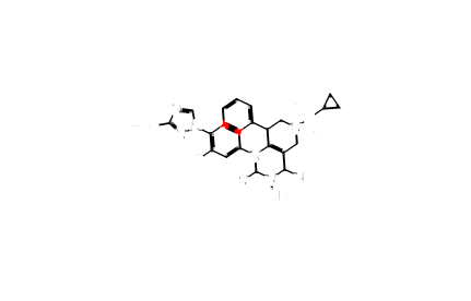 Cc1ncn(-c2ccc(N3C4=C(CN(S(=O)(=O)C5CC5)CC4c4ccccc4)C(N)N(C)C3N)cc2F)n1